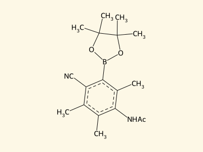 CC(=O)Nc1c(C)c(C)c(C#N)c(B2OC(C)(C)C(C)(C)O2)c1C